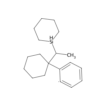 CC([SiH]1CCCCC1)C1(c2[c]cccc2)CCCCC1